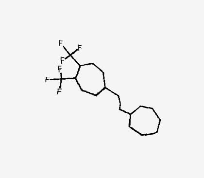 FC(F)(F)C1CCC(CCC2CCCCCC2)CCC1C(F)(F)F